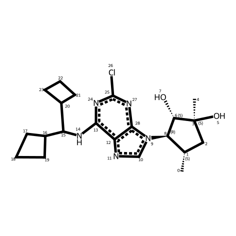 C[C@H]1C[C@](C)(O)[C@@H](O)[C@@H]1n1cnc2c(NC(C3CCC3)C3CCC3)nc(Cl)nc21